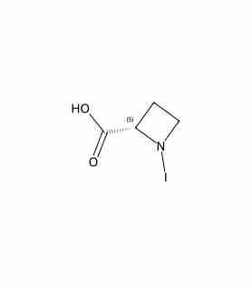 O=C(O)[C@@H]1CCN1I